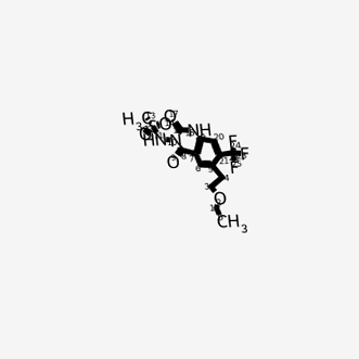 CCOCCc1cc2c(=O)n(NS(C)(=O)=O)c(=O)[nH]c2cc1C(F)(F)F